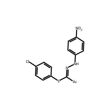 CC(=O)/C(=N\Nc1ccc([N+](=O)[O-])cc1)Sc1ccc(Cl)cc1